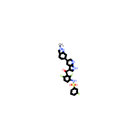 Cn1cc2ccc(-c3cnc4[nH]cc(C(=O)c5c(F)ccc(NS(=O)(=O)c6cccc(F)c6)c5F)c4c3)cc2n1